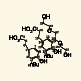 CCCCc1cc(CCC(=O)O)ccc1O.CCCCc1cc(CCC(=O)O)ccc1O.OCCOCCOCCO